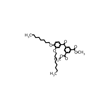 CCCCCCCCOc1ccc(C(=O)c2cc(C(=O)OC)cc(C(=O)OC)c2)cc1OCCCCCCCC